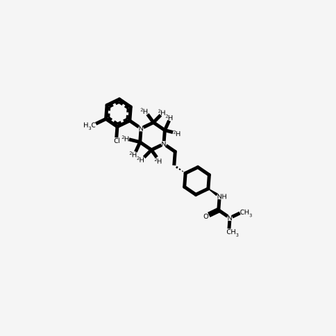 [2H]C1([2H])N(CC[C@H]2CC[C@H](NC(=O)N(C)C)CC2)C([2H])([2H])C([2H])([2H])N(c2cccc(C)c2Cl)C1([2H])[2H]